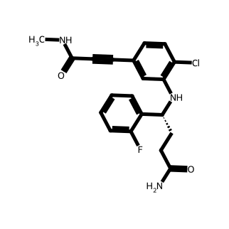 CNC(=O)C#Cc1ccc(Cl)c(N[C@H](CCC(N)=O)c2ccccc2F)c1